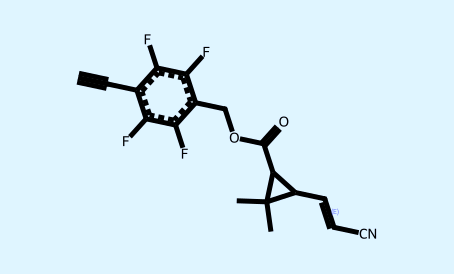 C#Cc1c(F)c(F)c(COC(=O)C2C(/C=C/C#N)C2(C)C)c(F)c1F